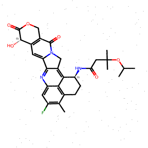 Cc1c(F)cc2nc3c(c4c2c1CC[C@@H]4NC(=O)CC(C)(C)OC(C)C)Cn1c-3cc2c(c1=O)COC(=O)[C@H]2O